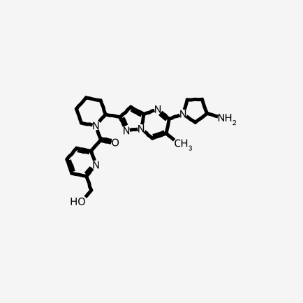 Cc1cn2nc(C3CCCCN3C(=O)c3cccc(CO)n3)cc2nc1N1CCC(N)C1